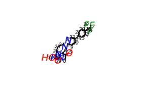 CNC1(C(C)=O)CN(c2ccc(-c3ccc(C(F)(F)F)cc3)cn2)CCCN1C(=O)O